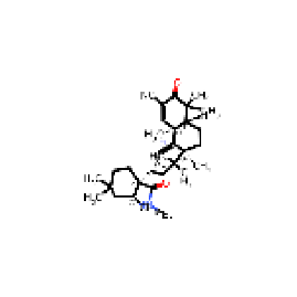 CCNC(=O)[C@]1(CCC(C)(C)[C@]2(C)CC[C@H]3C(C)(C)C(=O)C(C#N)=C[C@]3(C)/C2=C/C(C)=O)CCC(C)(C)C[C@@H]1C